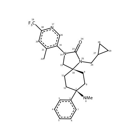 CN[C@]1(c2ccccc2)CC[C@@]2(CC1)CN(c1cnc(C(F)(F)F)cc1C)C(=O)N2CC1CC1